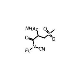 CCN(C#N)C(=O)C(CS(C)(=O)=O)NC(C)=O